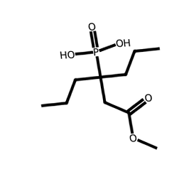 CCCC(CCC)(CC(=O)OC)P(=O)(O)O